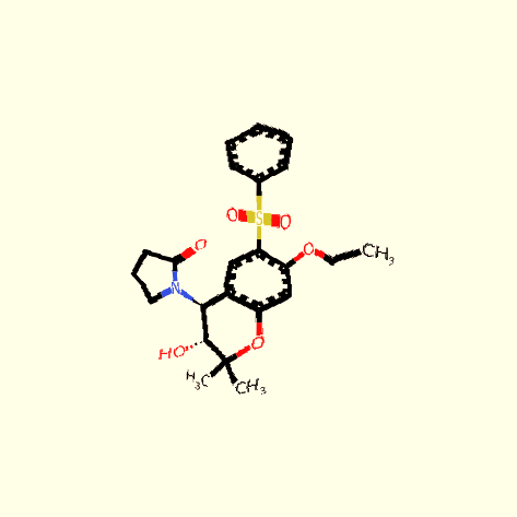 CCOc1cc2c(cc1S(=O)(=O)c1ccccc1)[C@H](N1CCCC1=O)[C@@H](O)C(C)(C)O2